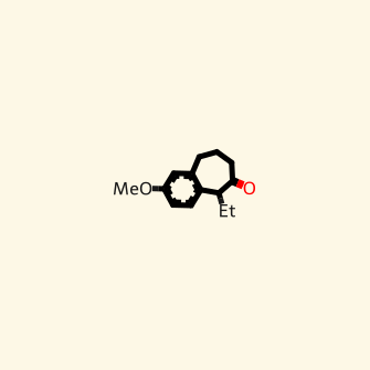 CCC1C(=O)CCCc2cc(OC)ccc21